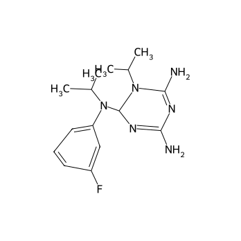 CC(C)N1C(N)=NC(N)=NC1N(c1cccc(F)c1)C(C)C